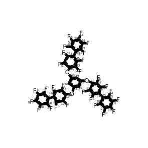 Fc1c(F)c(F)c(-c2c(F)c(F)c(Oc3cc(Oc4c(F)c(F)c(-c5c(F)c(F)c(F)c(F)c5F)c(F)c4F)cc(Oc4c(F)c(F)c(-c5c(F)c(F)c(F)c(F)c5F)c(F)c4F)c3)c(F)c2F)c(F)c1F